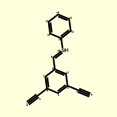 [C]#Cc1cc(C#[C])cc(C=[SiH]c2ccccc2)c1